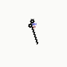 CCCCCCCCCCCCCC(=O)c1cccc2c1[nH]c1ccccc12